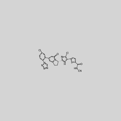 N#CNC(=O)c1ccc(-c2[nH]c([C@@H]3CCc4cc(-c5cc(Cl)ccc5-n5cnnn5)cc(=O)n43)nc2Cl)s1